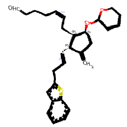 C=C1C[C@H](OC2CCCCO2)[C@H](C/C=C\CCCC=O)[C@H]1/C=C/Cc1cc2ccccc2s1